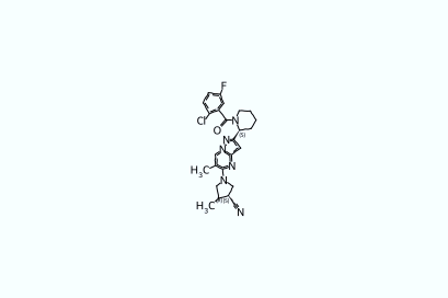 Cc1cn2nc([C@@H]3CCCCN3C(=O)c3cc(F)ccc3Cl)cc2nc1N1C[C@@H](C#N)[C@@H](C)C1